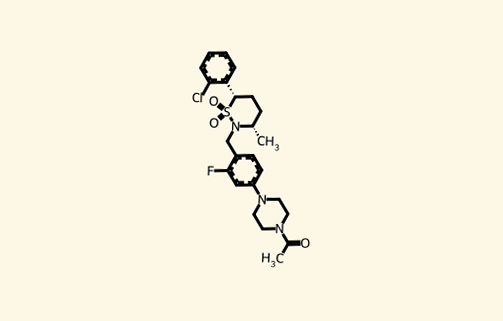 CC(=O)N1CCN(c2ccc(CN3[C@@H](C)CC[C@@H](c4ccccc4Cl)S3(=O)=O)c(F)c2)CC1